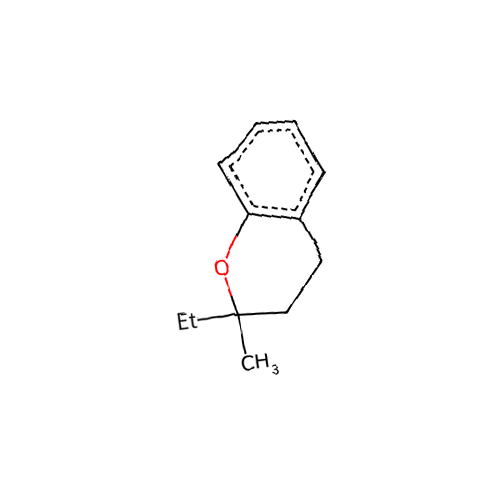 CCC1(C)CCc2ccccc2O1